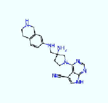 N#Cc1c[nH]c2ncnc(N3CCC(N)(CNc4ccc5c(c4)CNCC5)C3)c12